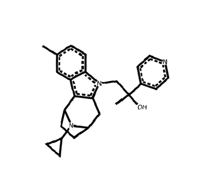 Cc1ccc2c(c1)c1c(n2CC(C)(O)c2ccncc2)CC2CCC1N2C1CC1